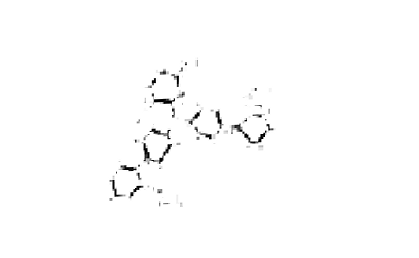 COc1ccccc1-c1ccc(N(c2ccc(-c3ccccc3OC)cc2)c2nc(N)ncc2C)cc1